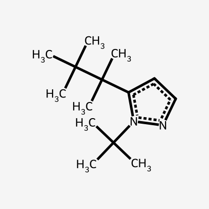 CC(C)(C)n1nccc1C(C)(C)C(C)(C)C